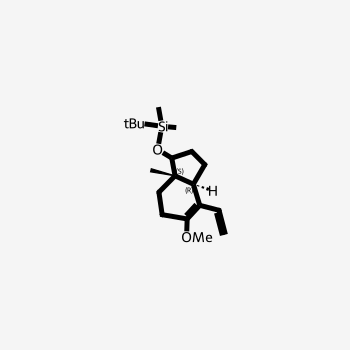 C=CC1=C(OC)CC[C@]2(C)C(O[Si](C)(C)C(C)(C)C)CC[C@@H]12